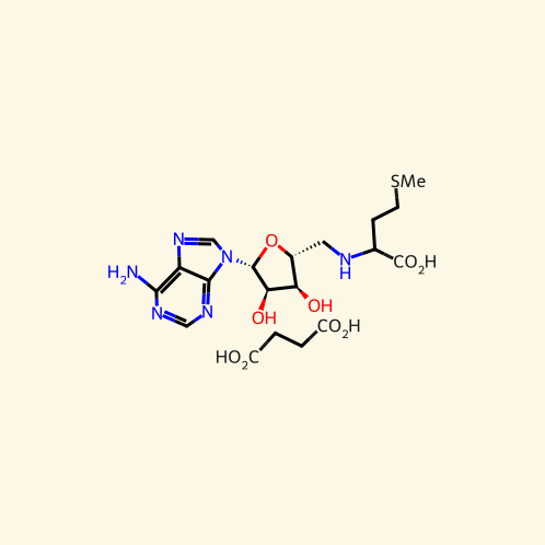 CSCCC(NC[C@H]1O[C@@H](n2cnc3c(N)ncnc32)[C@H](O)[C@@H]1O)C(=O)O.O=C(O)CCC(=O)O